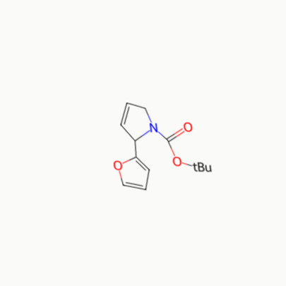 CC(C)(C)OC(=O)N1CC=CC1c1ccco1